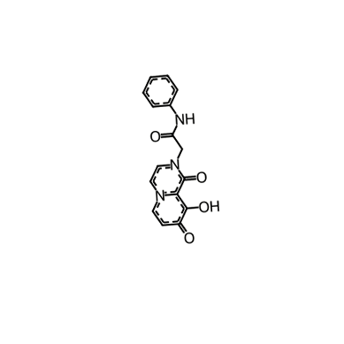 O=C(Cn1ccn2ccc(=O)c(O)c2c1=O)Nc1ccccc1